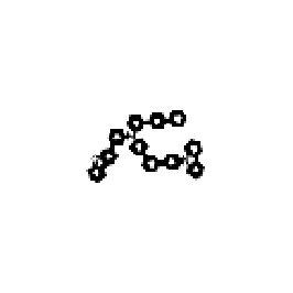 c1ccc(-c2ccc(-c3cccc(N(c4ccc(-c5cccc(-c6ccc(-n7c8ccccc8c8ccccc87)cc6)c5)cc4)c4cccc(-c5ccc6c(c5)oc5ccccc56)c4)c3)cc2)cc1